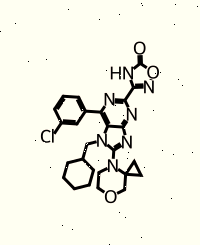 O=c1[nH]c(-c2nc(-c3cccc(Cl)c3)c3c(n2)nc(N2CCOCC24CC4)n3CC2CCCCC2)no1